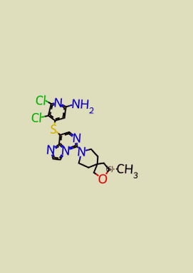 C[C@H]1CC2(CCN(c3ncc(Sc4cc(N)nc(Cl)c4Cl)c4nccn34)CC2)CO1